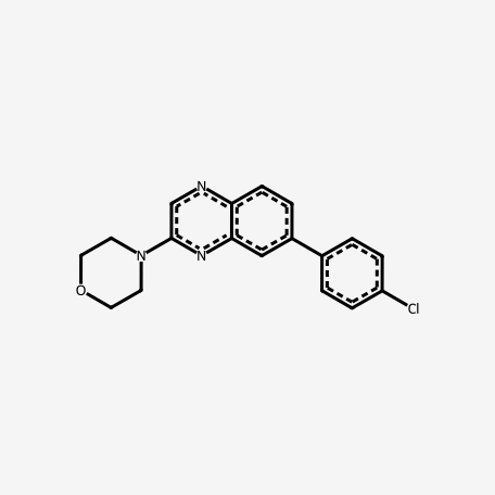 Clc1ccc(-c2ccc3ncc(N4CCOCC4)nc3c2)cc1